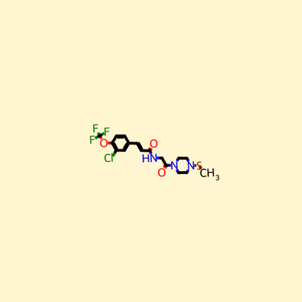 CSN1CCN(C(=O)CNC(=O)/C=C/c2ccc(OC(F)(F)F)c(Cl)c2)CC1